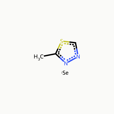 Cc1nncs1.[Se]